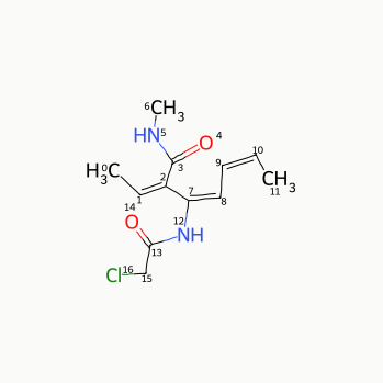 CC=C(C(=O)NC)/C(=C\C=C/C)NC(=O)CCl